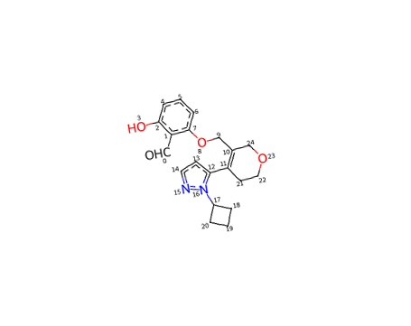 O=Cc1c(O)cccc1OCC1=C(c2ccnn2C2CCC2)CCOC1